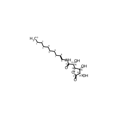 CCCCCCCCC=CNC(=O)[C@H](O)[C@H]1OC(=O)[C@@H](O)[C@H]1O